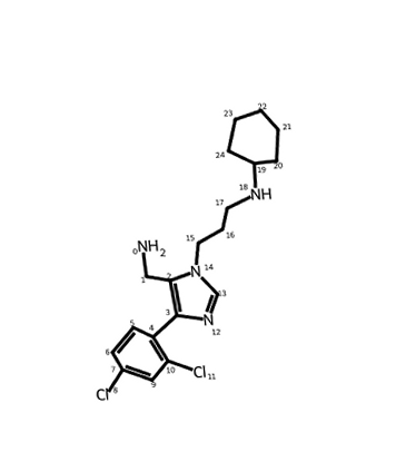 NCc1c(-c2ccc(Cl)cc2Cl)ncn1CCCNC1CCCCC1